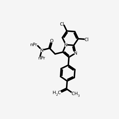 C=C(C)c1ccc(-c2nc3c(Cl)cc(Cl)cn3c2CC(=O)N(CCC)CCC)cc1